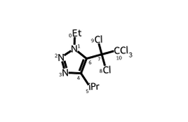 CCn1nnc(C(C)C)c1C(Cl)(Cl)C(Cl)(Cl)Cl